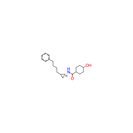 O=C(N[C@@H]1CC1CCCCc1ccccc1)C1CCC(O)CC1